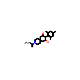 C=C(NC)N1CCC2(CC1)CC(=O)C(C1=C(C)C=C(C)CC1C)C(=O)C2